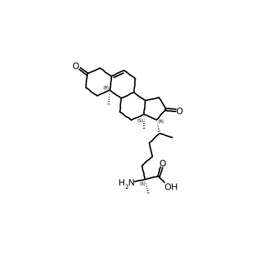 CC(CCC[C@](C)(N)C(=O)O)[C@H]1C(=O)CC2C3CC=C4CC(=O)CC[C@]4(C)C3CC[C@@]21C